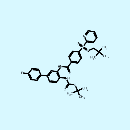 CC(C)(C)CN=S(=O)(c1ccc(C(=O)Nc2cc(-c3ccc(F)cc3)ccc2NC(=O)OC(C)(C)C)cc1)c1ccccn1